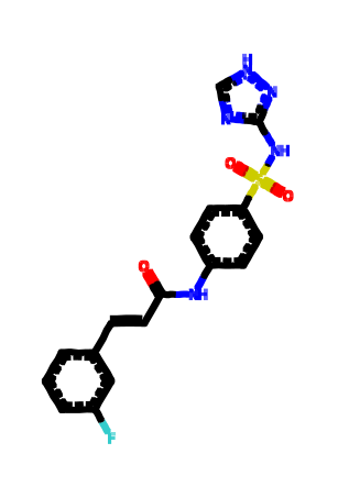 O=C(/C=C/c1cccc(F)c1)Nc1ccc(S(=O)(=O)Nc2nc[nH]n2)cc1